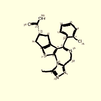 Cc1nnc2n1-c1sc3c(c1C(c1ccccc1Cl)=NC2)C[C@@H](C(=O)O)C3